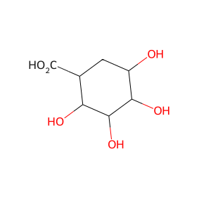 O=C(O)C1CC(O)C(O)C(O)C1O